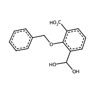 O=C(O)c1cccc(C(O)O)c1OCc1ccccc1